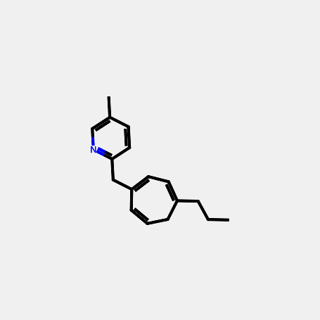 CCCC1=CC=C(Cc2ccc(C)cn2)C=CC1